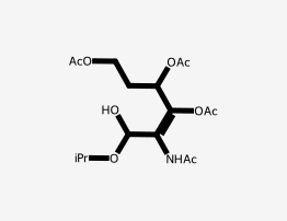 CC(=O)N/C(=C(\OC(C)=O)C(CCOC(C)=O)OC(C)=O)C(O)OC(C)C